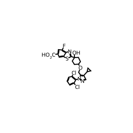 O=C(O)c1cc(F)c2nc(C3(O)CCC(OCc4c(C5CC5)cnn4-c4c(Cl)cccc4Cl)CC3)sc2c1